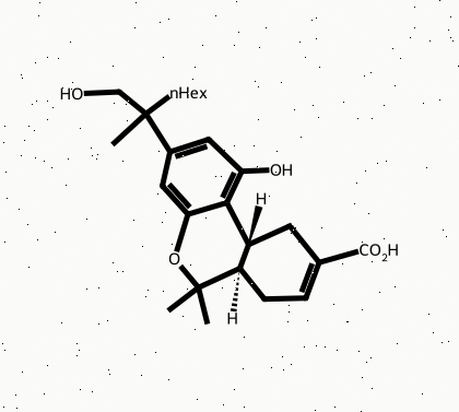 CCCCCCC(C)(CO)c1cc(O)c2c(c1)OC(C)(C)[C@@H]1CC=C(C(=O)O)C[C@@H]21